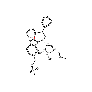 COC[C@H]1O[C@@H](N(CC(c2ccccc2)c2ccccc2)n2cnc3cnc(COS(C)(=O)=O)nc32)[C@@H](O)[C@@H]1O